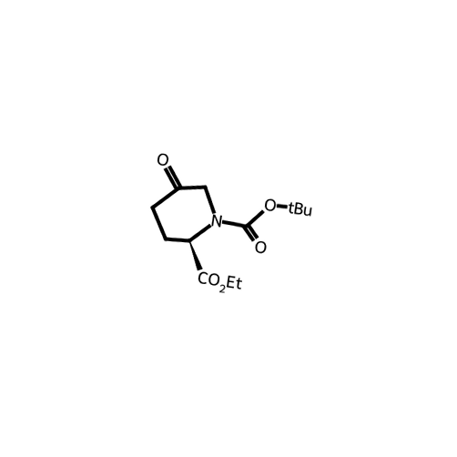 CCOC(=O)[C@H]1CCC(=O)CN1C(=O)OC(C)(C)C